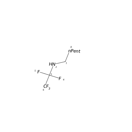 CCCCCCNC(F)(F)C(F)(F)F